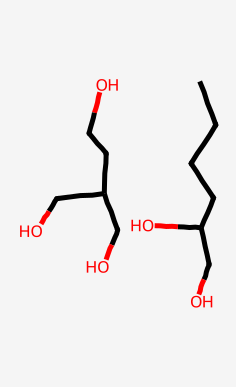 CCCCC(O)CO.OCCC(CO)CO